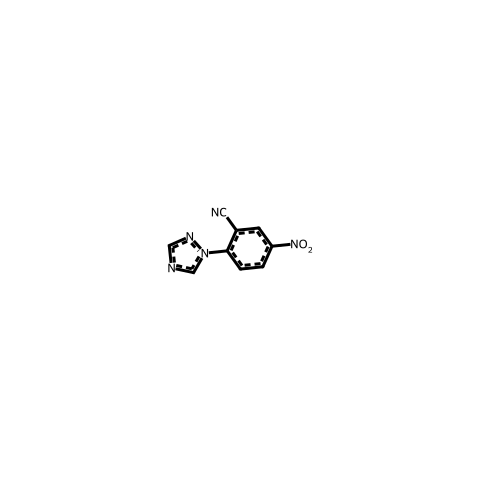 N#Cc1cc([N+](=O)[O-])ccc1-n1cncn1